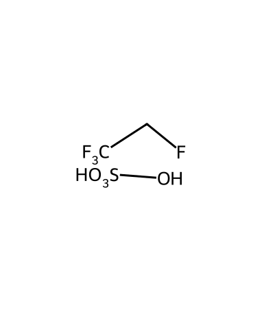 FCC(F)(F)F.O=S(=O)(O)O